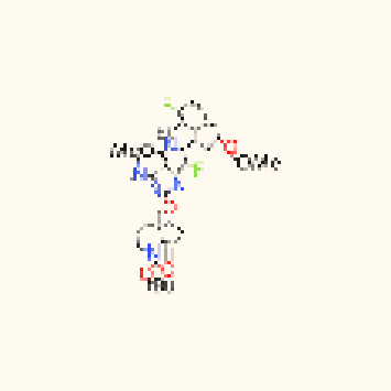 CCc1c(F)ccc2cc(OCOC)cc(-c3nc(OC)c4c(N(C)C)nc(OC[C@]56CCC[C@H]5N(C(=O)OC(C)(C)C)CCC6)nc4c3F)c12